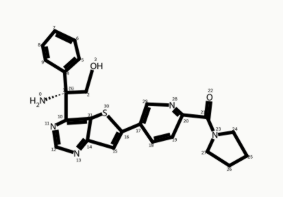 N[C@@](CO)(c1ccccc1)c1ncnc2cc(-c3ccc(C(=O)N4CCCC4)nc3)sc12